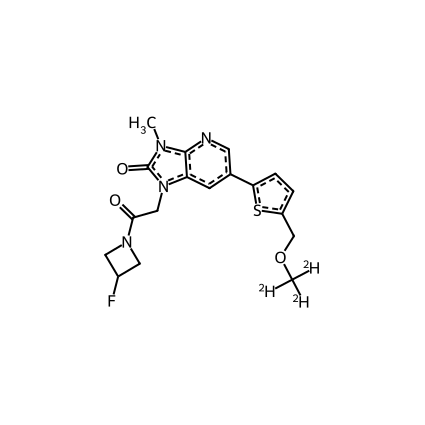 [2H]C([2H])([2H])OCc1ccc(-c2cnc3c(c2)n(CC(=O)N2CC(F)C2)c(=O)n3C)s1